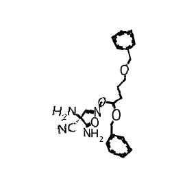 N#C[C@](N)(C=NOC(CCCOCc1ccccc1)OCc1ccccc1)C(N)=O